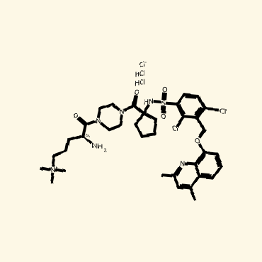 Cc1cc(C)c2cccc(OCc3c(Cl)ccc(S(=O)(=O)NC4(C(=O)N5CCN(C(=O)[C@@H](N)CCC[N+](C)(C)C)CC5)CCCC4)c3Cl)c2n1.Cl.Cl.[Cl-]